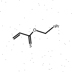 C=CC(=S)OCCCC